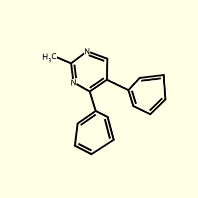 Cc1ncc(-c2ccccc2)c(-c2ccccc2)n1